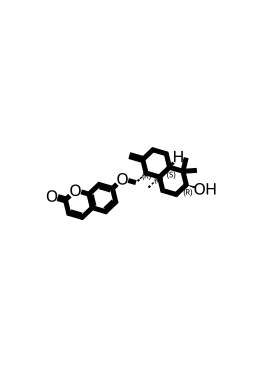 C=C1CC[C@@H]2C(C)(C)[C@H](O)CC[C@@]2(C)[C@@H]1COc1ccc2ccc(=O)oc2c1